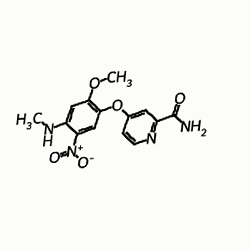 CNc1cc(OC)c(Oc2ccnc(C(N)=O)c2)cc1[N+](=O)[O-]